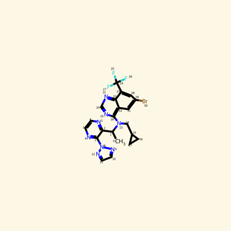 CC(c1nccnc1-n1nccn1)N(CC1CC1)c1ncnc2c(C(F)(F)F)cc(Br)cc12